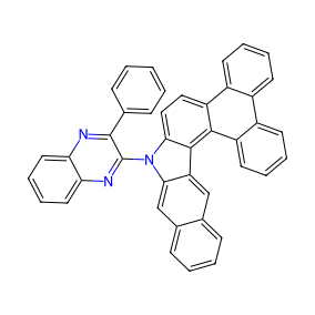 c1ccc(-c2nc3ccccc3nc2-n2c3cc4ccccc4cc3c3c4c5ccccc5c5ccccc5c4ccc32)cc1